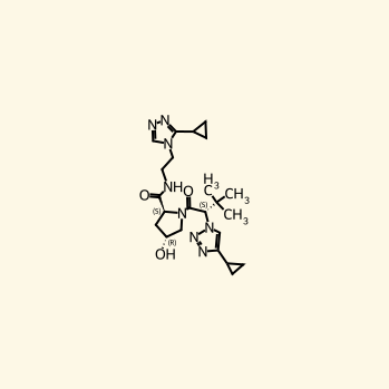 CC(C)(C)[C@@H](C(=O)N1C[C@H](O)C[C@H]1C(=O)NCCn1cnnc1C1CC1)n1cc(C2CC2)nn1